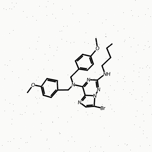 CCCCNc1nc(N(Cc2ccc(OC)cc2)Cc2ccc(OC)cc2)c2ncc(Br)n2n1